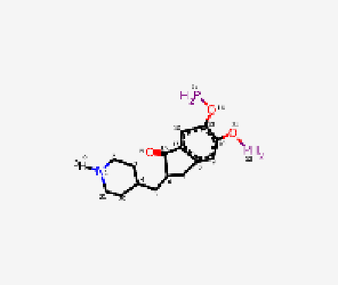 [3H]N1CCC(CC2Cc3cc(OP)c(OP)cc3C2=O)CC1